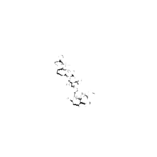 COc1ncc2ccc(=O)n(CCN3C[C@H]4CN(c5ccc6c(n5)NC(=O)CO6)C(=O)O[C@@H]4C3)c2n1